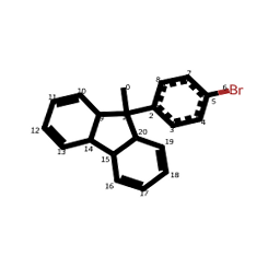 CC1(c2ccc(Br)cc2)C2C=CC=CC2C2C=CC=CC21